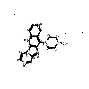 CN1CCN(c2c3cnccc3nc3c2nc2cnccn23)CC1